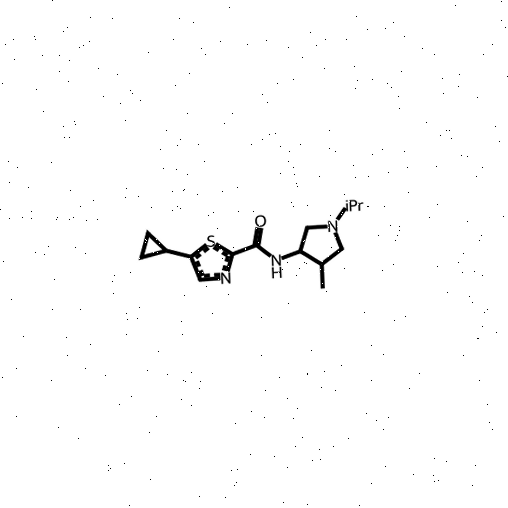 CC1CN(C(C)C)CC1NC(=O)c1ncc(C2CC2)s1